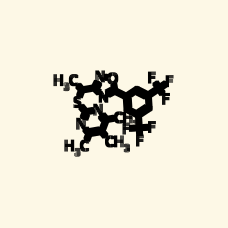 Cc1nc(SC(C)c2noc(-c3cc(C(F)(F)F)cc(C(F)(F)F)c3)n2)nc(C)c1C